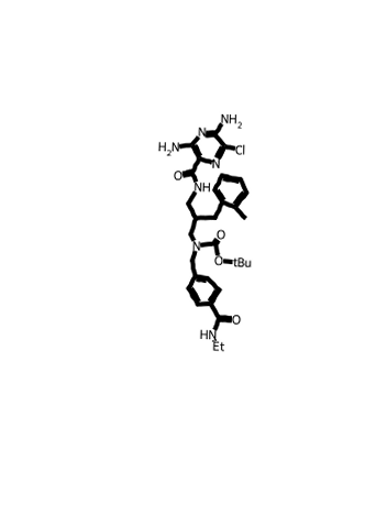 [CH2]CNC(=O)c1ccc(CN(CC(CNC(=O)c2nc(Cl)c(N)nc2N)Cc2ccccc2C)C(=O)OC(C)(C)C)cc1